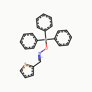 C(=N\O[Si](c1ccccc1)(c1ccccc1)c1ccccc1)/c1cccs1